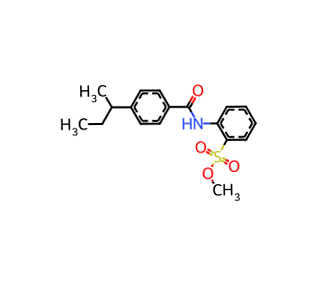 CCC(C)c1ccc(C(=O)Nc2ccccc2S(=O)(=O)OC)cc1